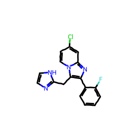 Fc1ccccc1-c1nc2cc(Cl)ccn2c1Cc1ncc[nH]1